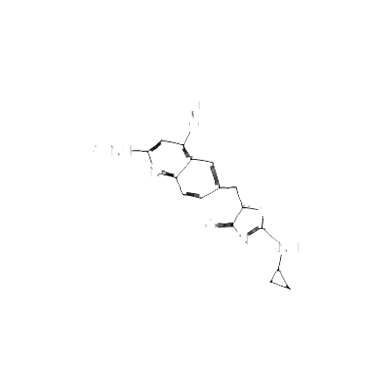 CCOc1cc(NC(C)=O)nc2ccc(CC3SC(NC4CC4)=NC3=O)cc12